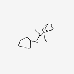 CC1(C(=O)OC2CCCCC2)CC2C=CC1C2